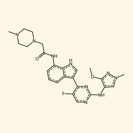 COc1nn(C)cc1Nc1ncc(F)c(-c2c[nH]c3c(NC(=O)CN4CCN(C)CC4)cccc23)n1